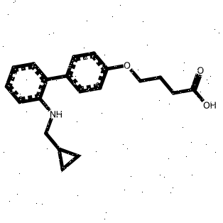 O=C(O)CCCOc1ccc(-c2ccccc2NCC2CC2)cc1